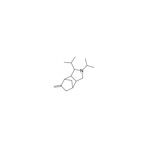 C=C1CC2CC1C1C2CN(C(C)C)C1C(C)C